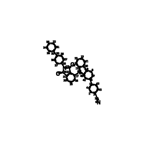 N#Cc1ccc(-c2ccc3c4ccccc4n(-c4cccc5c4C(=O)N(c4ccc(-c6ccccc6)cc4)C5=O)c3c2)cc1